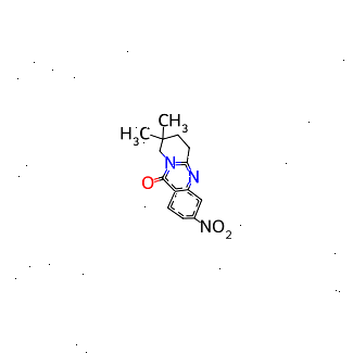 CC1(C)CCc2nc3cc([N+](=O)[O-])ccc3c(=O)n2C1